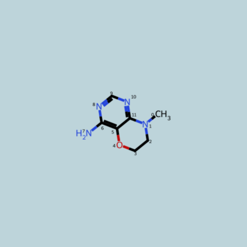 CN1CCOc2c(N)ncnc21